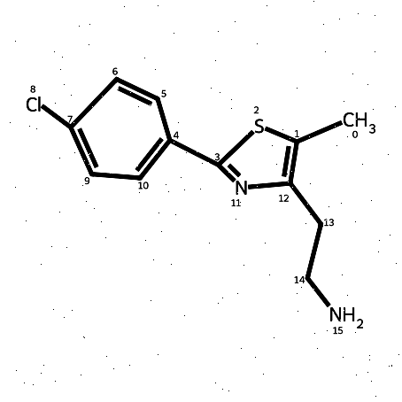 Cc1sc(-c2ccc(Cl)cc2)nc1CCN